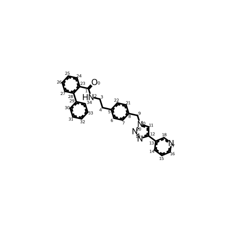 O=C(NCCc1ccc(Cn2cc(-c3cccnc3)nn2)cc1)c1ccccc1-c1ccccc1